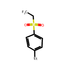 CCc1ccc(S(=O)(=O)CC(F)(F)F)cc1